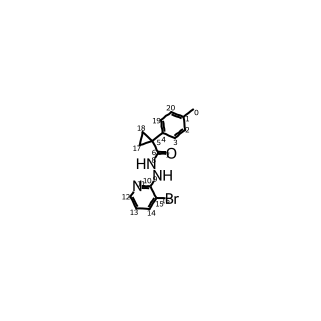 Cc1ccc(C2(C(=O)NNc3ncccc3Br)CC2)cc1